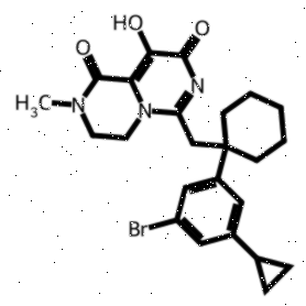 CN1CCn2c(CC3(c4cc(Br)cc(C5CC5)c4)CCCCC3)nc(=O)c(O)c2C1=O